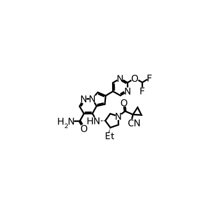 CC[C@H]1CN(C(=O)C2(C#N)CC2)C[C@H]1Nc1c(C(N)=O)cnn2cc(-c3cnc(OC(F)F)nc3)cc12